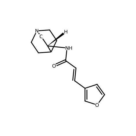 O=C(C=Cc1ccoc1)N[C@H]1CN2CCC1CC2